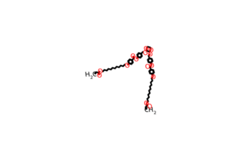 C=CC(=O)OCCCCCCCCCCCCOc1ccc(C(=O)Oc2ccc(CO[C@@H]3OCCO[C@H]3OCc3ccc(OC(=O)c4ccc(OCCCCCCCCCCCCOC(=O)C=C)cc4)cc3)cc2)cc1